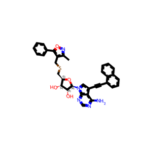 Cc1noc(-c2ccccc2)c1CSC[C@H]1O[C@@H](n2cc(C#Cc3cccc4ccccc34)c3c(N)ncnc32)[C@H](O)[C@@H]1O